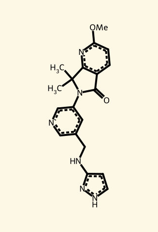 COc1ccc2c(n1)C(C)(C)N(c1cncc(CNc3cc[nH]n3)c1)C2=O